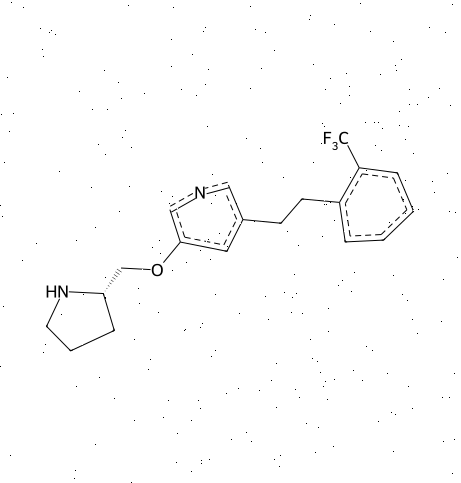 FC(F)(F)c1ccccc1CCc1cncc(OC[C@@H]2CCCN2)c1